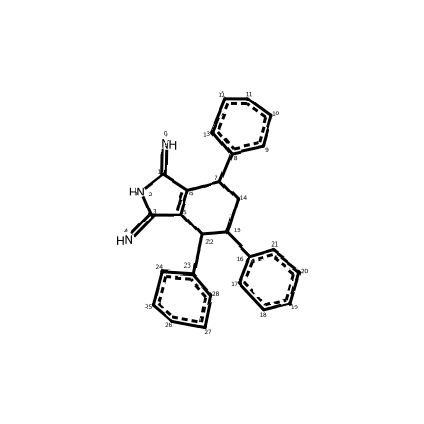 N=C1NC(=N)C2=C1C(c1ccccc1)CC(c1ccccc1)C2c1ccccc1